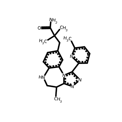 Cc1cccc(-c2nnc3n2-c2cc(CC(C)(C)C(N)=O)ccc2NCC3C)n1